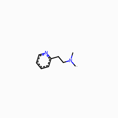 [CH2]N(C)CCc1ccccn1